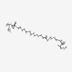 CCCCC(CC)COC(=O)CCCCCCCCCCCCCCCCCCCCC(CC)CC(=O)O